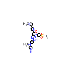 CN1CCCC(c2ccc(-c3cc4cnc(Nc5ccc(N(C)C6CCNCC6)cc5)nc4n(C4CCC(S(C)(=O)=O)CC4)c3=O)nc2)C1